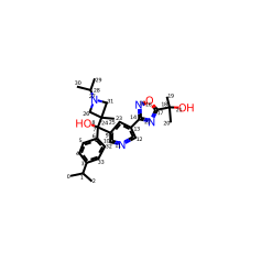 CC(C)c1ccc(C(O)(c2cncc(-c3noc(C(C)(C)O)n3)c2)C2(C)CN(C(C)C)C2)cc1